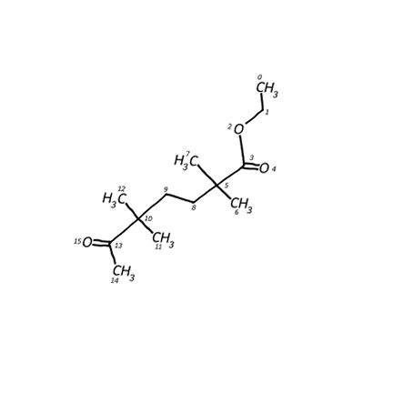 CCOC(=O)C(C)(C)CCC(C)(C)C(C)=O